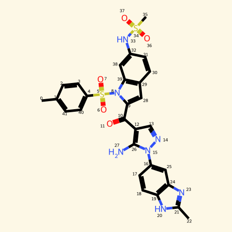 Cc1ccc(S(=O)(=O)n2c(C(=O)c3cnn(-c4ccc5[nH]c(C)nc5c4)c3N)cc3ccc(NS(C)(=O)=O)cc32)cc1